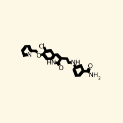 NC(=O)c1cccc(NCCc2cc3cc(Cl)c(OCc4ccccn4)cc3[nH]c2=O)c1